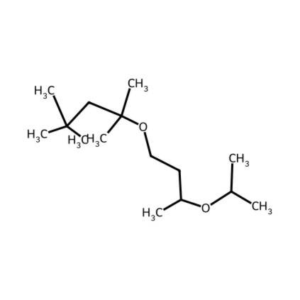 CC(C)OC(C)CCOC(C)(C)CC(C)(C)C